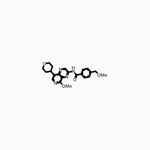 COCc1ccc(C(=O)Nc2cnc3c(C4CCOCC4)cnc(OC)c3n2)cc1